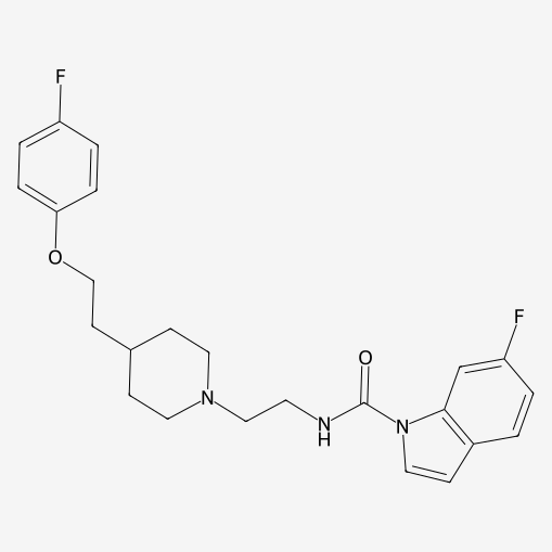 O=C(NCCN1CCC(CCOc2ccc(F)cc2)CC1)n1ccc2ccc(F)cc21